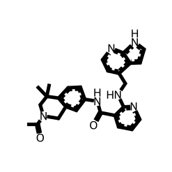 CC(=O)N1Cc2cc(NC(=O)c3cccnc3NCc3ccnc4[nH]ccc34)ccc2C(C)(C)C1